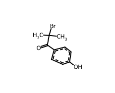 CC(C)(Br)C(=O)c1ccc(O)cc1